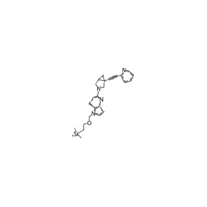 C[Si](C)(C)CCOCn1ccc2nc(N3CC4CC4(C#Cc4ccccn4)C3)ccc21